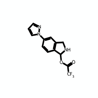 O=C(OC1NCc2cc(-n3cccn3)ccc21)C(F)(F)F